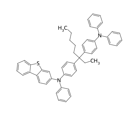 CCCCCC(CC)(c1ccc(N(c2ccccc2)c2ccccc2)cc1)c1ccc(N(c2ccccc2)c2ccc3c(c2)sc2ccccc23)cc1